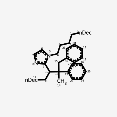 CCCCCCCCCCCCCCn1ccnc1C(CCCCCCCCCCC)C(C)(Cc1ccccc1)c1ccccc1